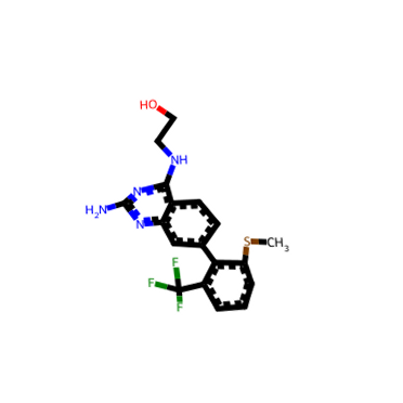 CSc1cccc(C(F)(F)F)c1-c1ccc2c(NCCO)nc(N)nc2c1